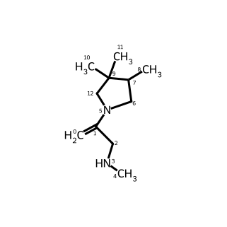 C=C(CNC)N1CC(C)C(C)(C)C1